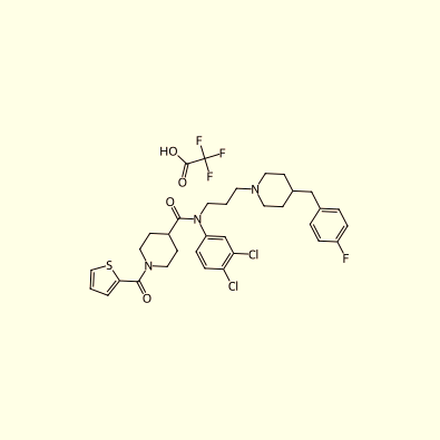 O=C(O)C(F)(F)F.O=C(c1cccs1)N1CCC(C(=O)N(CCCN2CCC(Cc3ccc(F)cc3)CC2)c2ccc(Cl)c(Cl)c2)CC1